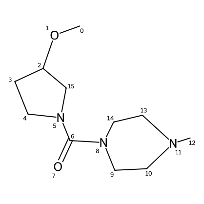 COC1CCN(C(=O)N2CCN(C)CC2)C1